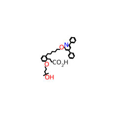 CC(C)(O)CCCOc1cccc(CCCCCCOc2cc(-c3ccccc3)cc(-c3ccccc3)n2)c1CCC(=O)O